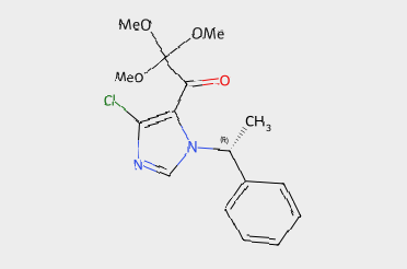 COC(OC)(OC)C(=O)c1c(Cl)ncn1[C@H](C)c1ccccc1